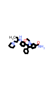 CCC(CCN1CCCCC1)Nc1cccc2c1OCCn1c-2c(C2CCCCC2)c2ccc(C(N)=O)cc21